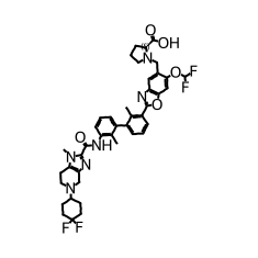 Cc1c(NC(=O)c2nc3c(n2C)CCN(C2CCC(F)(F)CC2)C3)cccc1-c1cccc(-c2nc3cc(CN4CCC[C@H]4C(=O)O)c(OC(F)F)cc3o2)c1C